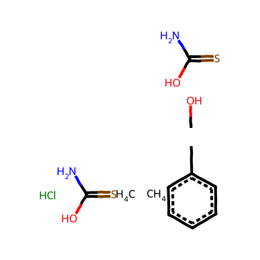 C.C.CO.Cc1ccccc1.Cl.NC(O)=S.NC(O)=S